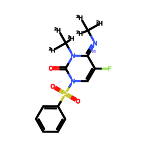 [2H]C([2H])([2H])/N=c1/c(F)cn(S(=O)(=O)c2ccccc2)c(=O)n1C([2H])([2H])[2H]